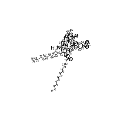 CCCCCCCCCCCCCCCC(=O)OCC(COP(=O)(OC[C@@]1(C#N)O[C@@H](c2ccc3c(N)ncnn23)[C@@H]2OC(C)(C)O[C@@H]21)Oc1ccc([N+](=O)[O-])cc1)OC(=O)CCCCCCCCCCCCCCC